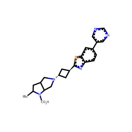 CC(C)(C)C1CC2CN([C@H]3C[C@H](c4nc5ccc(-c6cncnc6)cc5s4)C3)CC2N1C(=O)O